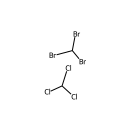 BrC(Br)Br.ClC(Cl)Cl